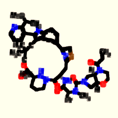 C=CC(=O)N1CCO[C@@H]2CN(C(=O)N(C)[C@H](C(=O)N[C@H]3Cc4nc(cs4)-c4ccc5c(c4)c(c(-c4cccnc4[C@H](C)OC)n5CC)CC(C)(C)COC(=O)[C@@]4([SiH3])CCCN(N4)C3=O)C(C)C)C[C@H]21